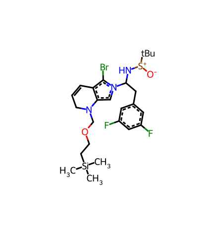 CC(C)(C)[S+]([O-])NC(Cc1cc(F)cc(F)c1)n1cc2c(c1Br)C=CCN2COCC[Si](C)(C)C